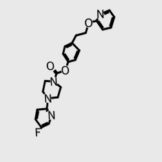 O=C(Oc1ccc(CCOc2ccccn2)cc1)N1CCN(c2ccc(F)cn2)CC1